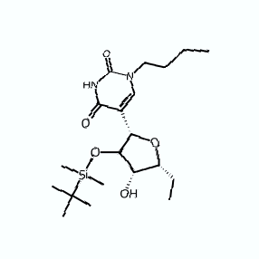 CCCCn1cc([C@@H]2O[C@H](CC)[C@H](O)C2O[Si](C)(C)C(C)(C)C)c(=O)[nH]c1=O